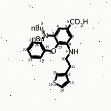 CCCCN(CCCC)c1cc(C(=O)O)cc(NCCc2ccsc2)c1Oc1ccccc1